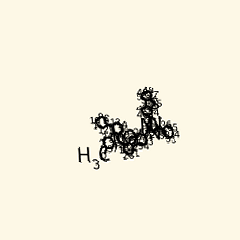 CC1C=CC2c3c(-c4ccccc4)cccc3N(c3cccc4c3oc3cc(-c5nc(C6=CCCC=C6)nc(-c6ccc7c(c6)sc6ccccc67)n5)ccc34)C2C1